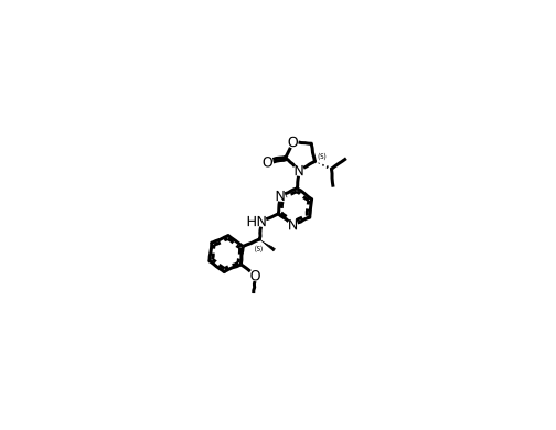 COc1ccccc1[C@H](C)Nc1nccc(N2C(=O)OC[C@@H]2C(C)C)n1